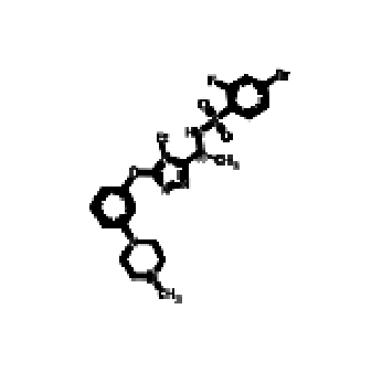 CCn1c(Oc2cccc(N3CCN(C)CC3)c2)nnc1[C@@H](C)NS(=O)(=O)c1ccc(Br)cc1F